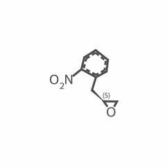 O=[N+]([O-])c1ccccc1C[C@H]1CO1